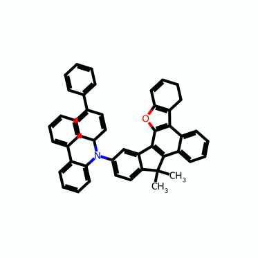 CC1(C)c2ccc(N(c3ccccc3-c3ccccc3)C3C=CC(c4ccccc4)=CC3)cc2-c2c1c1ccccc1c1c3c(oc21)C=CCC3